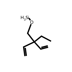 C=CC(C=C)(CC)CO[SiH3]